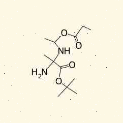 CCC(=O)OC(C)NC(C)(N)C(=O)OC(C)(C)C